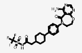 Nc1ncnc2c1C(=O)N(c1ccc(C3CCC(CC(=O)NS(=O)(=O)C(F)(F)F)CC3)cc1)CCO2